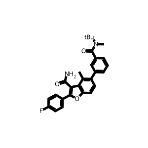 Cc1c(-c2cccc(C(=O)N(C)C(C)(C)C)c2)ccc2oc(-c3ccc(F)cc3)c(C(N)=O)c12